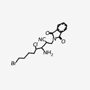 N#CC(CN1C(=O)c2ccccc2C1=O)C(N)C(Cl)CCCCBr